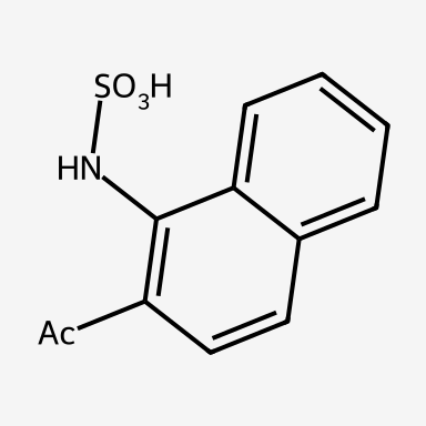 CC(=O)c1ccc2ccccc2c1NS(=O)(=O)O